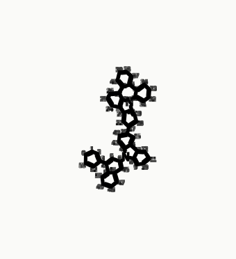 c1ccc(-c2cc(-n3c4ccccc4c4cc(-c5ccc6c(c5)c5cccc7c5n6-c5ccccc5-c5ccccc5-7)ccc43)cc3ccccc23)cc1